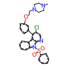 CN1CCN(CCOc2cccc(-c3c(Cl)cnc4c3c3ccccc3n4S(=O)(=O)c3ccccc3)c2)CC1